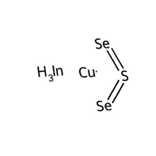 [Cu].[InH3].[Se]=S=[Se]